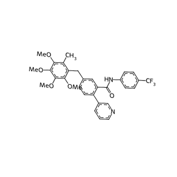 COc1c(C)c(Cc2ccc(-c3cccnc3)c(C(=O)Nc3ccc(C(F)(F)F)cc3)c2)c(OC)c(OC)c1OC